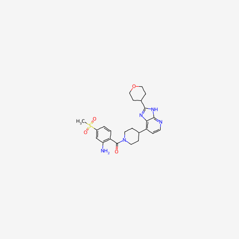 CS(=O)(=O)c1ccc(C(=O)N2CCC(c3ccnc4[nH]c(C5CCOCC5)nc34)CC2)c(N)c1